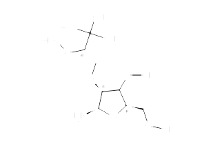 B[C@@H]1O[C@H](COC)C(OC)[C@@H]1OC[C@H](OC)C(C)(C)C